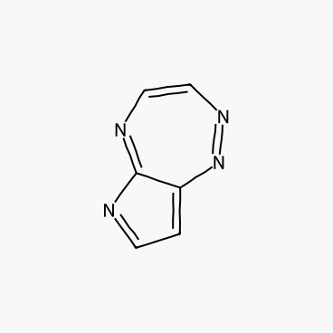 c1cnc2nccc-2nn1